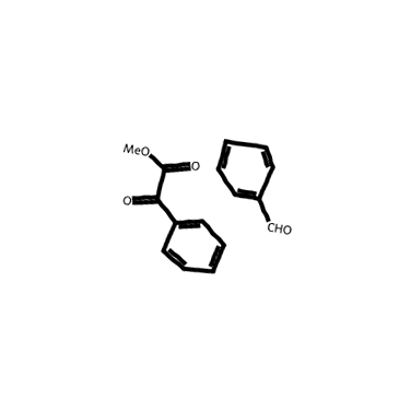 COC(=O)C(=O)c1ccccc1.O=Cc1ccccc1